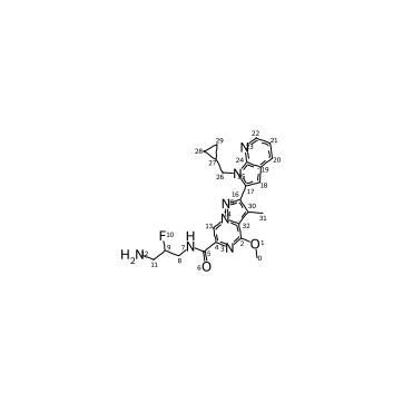 COc1nc(C(=O)NCC(F)CN)cn2nc(-c3cc4cccnc4n3CC3CC3)c(C)c12